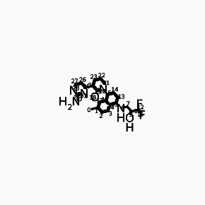 Cc1ccc2c(NCC(O)C(F)F)cccc2c1Oc1ncccc1-c1ccnc(N)n1